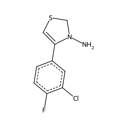 NN1CSC=C1c1ccc(F)c(Cl)c1